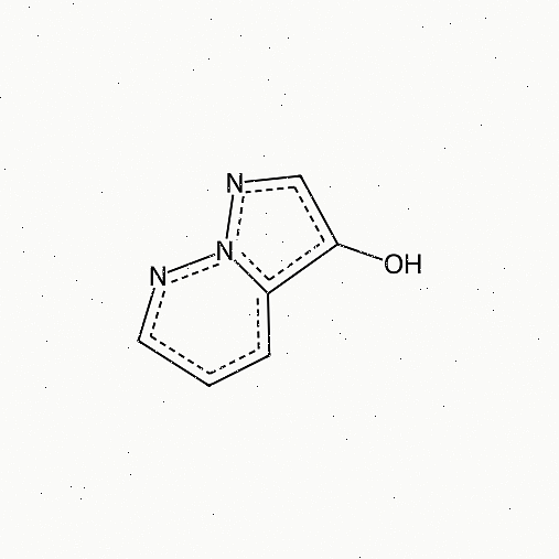 Oc1cnn2ncccc12